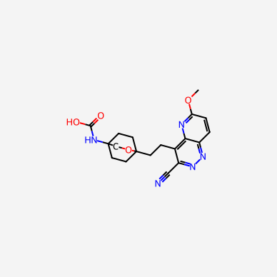 COc1ccc2nnc(C#N)c(CCC34CCC(NC(=O)O)(CC3)CO4)c2n1